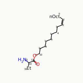 CCCCCCCC/C=C\CCCCCCCCOC(=O)C(N)CC